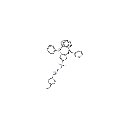 C=Cc1ccc(/C=C/CCC(C)(C)C2=CC(P(c3ccccc3)c3ccccc3)=C(P(c3ccccc3)c3ccccc3)C2)cc1